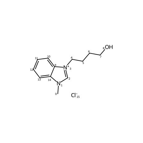 Cn1c[n+](CCCCO)c2ccccc21.[Cl-]